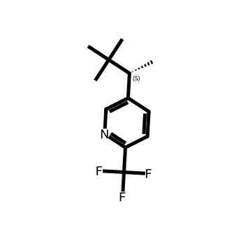 C[C@H](c1ccc(C(F)(F)F)nc1)C(C)(C)C